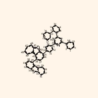 c1ccc(-c2cc(-c3ccccc3-c3ccncc3)nc(-c3ccc(-c4ccc(-c5cccc6sc7ccccc7c56)c5c4oc4ccccc45)cc3)n2)cc1